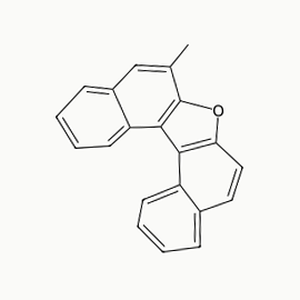 Cc1cc2ccccc2c2c1oc1ccc3ccccc3c12